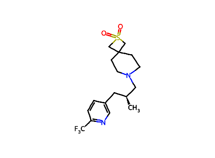 C[C@@H](Cc1ccc(C(F)(F)F)nc1)CN1CCC2(CC1)CS(=O)(=O)C2